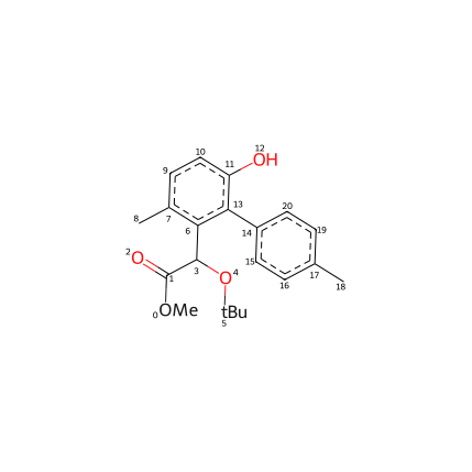 COC(=O)C(OC(C)(C)C)c1c(C)ccc(O)c1-c1ccc(C)cc1